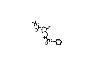 CN(CC1CN(C(=O)OC(C)(C)C)CC1F)C(=O)OCc1ccccc1